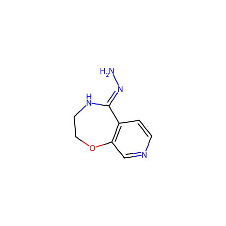 N/N=C1\NCCOc2cnccc21